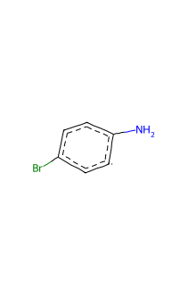 Nc1[c]cc(Br)cc1